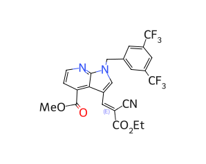 CCOC(=O)/C(C#N)=C/c1cn(Cc2cc(C(F)(F)F)cc(C(F)(F)F)c2)c2nccc(C(=O)OC)c12